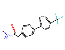 CNC(=O)Cc1ccc(-c2ccc(C(F)(F)F)cc2)cc1